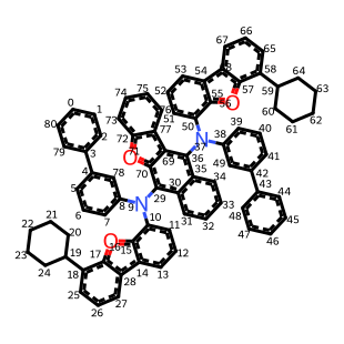 c1ccc(-c2cccc(N(c3cccc4c3oc3c(C5CCCCC5)cccc34)c3c4ccccc4c(N(c4cccc(-c5ccccc5)c4)c4cccc5c4oc4c(C6CCCCC6)cccc45)c4c3oc3ccccc34)c2)cc1